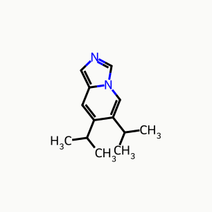 CC(C)c1cc2cncn2cc1C(C)C